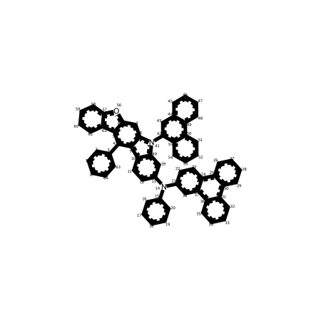 c1ccc(-c2c3c(cc4c2c2ccc(N(c5ccccc5)c5ccc6c7ccccc7c7ccccc7c6c5)cc2n4-c2cc4ccccc4c4ccccc24)oc2ccccc23)cc1